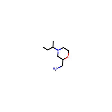 CCC(C)N1CCOC(CN)C1